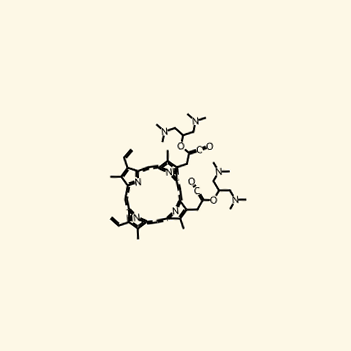 C=CC1=C(C)c2cc3[nH]c(cc4nc(cc5[nH]c(cc1n2)c(C)c5CC(=C=O)OC(CN(C)C)CN(C)C)C(CC(=C=O)OC(CN(C)C)CN(C)C)=C4C)c(C)c3C=C